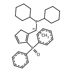 C[C@H](C1=C(P(=O)(c2ccccc2)c2ccccc2)C=CC1)P(C1CCCCC1)C1CCCCC1